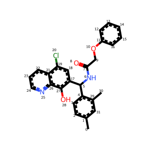 Cc1ccc(C(NC(=O)COc2ccccc2)c2cc(Cl)c3cccnc3c2O)c(C)c1